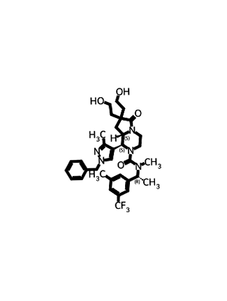 Cc1cc([C@@H](C)N(C)C(=O)N2CCN3C(=O)C(CCO)(CCO)C[C@H]3[C@@H]2c2cn(Cc3ccccc3)nc2C)cc(C(F)(F)F)c1